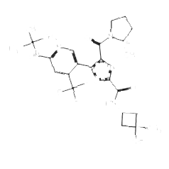 C[C@H]1CCCN1C(=O)c1nc(C(=O)N[C@H]2C[C@@](C)(O)C2)sc1C1=CN=C(NC(C)(C)C)CC1C(F)(F)F